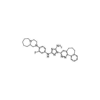 Nc1nc(Nc2ccc(N3CCN4CCCCCC4C3)c(F)c2)nn1-c1cc2c(nn1)-c1ccccc1CCC2